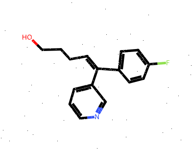 OCCCC=C(c1ccc(F)cc1)c1cccnc1